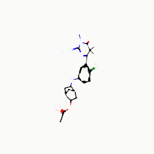 CC(=O)OC1CC2CC1CC2Nc1ccc(F)c([C@@]2(C)N=C(N)N(C)C(=O)C2(C)C)c1